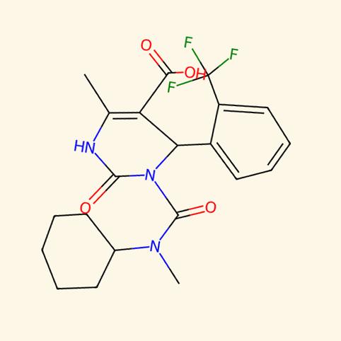 CC1=C(C(=O)O)C(c2ccccc2C(F)(F)F)N(C(=O)N(C)C2CCCCC2)C(=O)N1